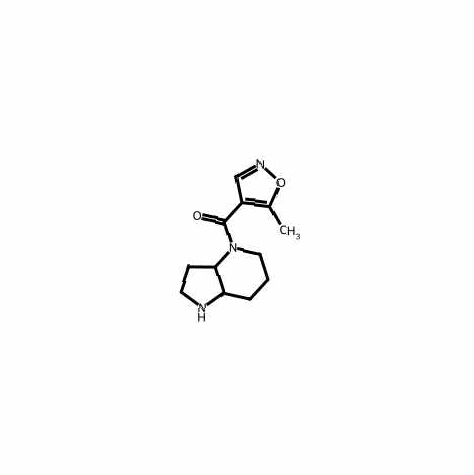 Cc1oncc1C(=O)N1CCCC2NCCC21